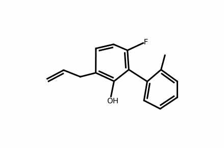 C=CCc1ccc(F)c(-c2ccccc2C)c1O